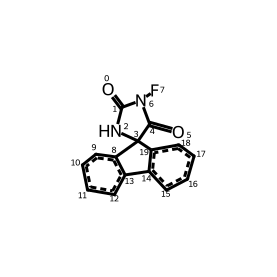 O=C1NC2(C(=O)N1F)c1ccccc1-c1ccccc12